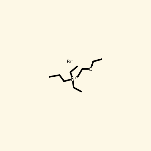 CCC[N+](CC)(CC)CCOCC.[Br-]